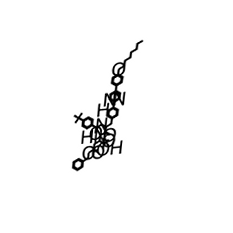 CCCCCCCOc1ccc(-c2cnc(-c3ccc(CC(NC(=O)c4ccc(C(C)(C)C)cc4)C(=O)NC(CC(=O)OCc4ccccc4)C(=O)O)cc3)nc2)cc1